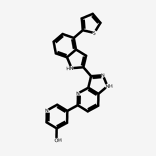 Oc1cncc(-c2ccc3[nH]nc(-c4cc5c(-c6cccs6)cccc5[nH]4)c3n2)c1